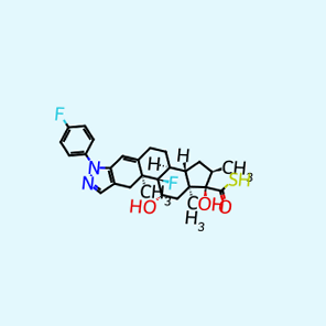 C[C@@H]1C[C@H]2[C@@H]3CCC4=Cc5c(cnn5-c5ccc(F)cc5)C[C@]4(C)[C@@]3(F)[C@@H](O)C[C@]2(C)[C@@]1(O)C(=O)S